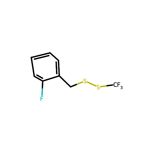 Fc1ccccc1CSSC(F)(F)F